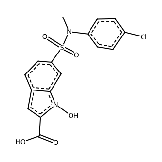 CN(c1ccc(Cl)cc1)S(=O)(=O)c1ccc2cc(C(=O)O)n(O)c2c1